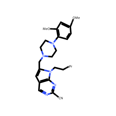 COc1ccc(N2CCN(Cc3cc4cnc(C#N)nc4n3CCC(C)C)CC2)c(OC)c1